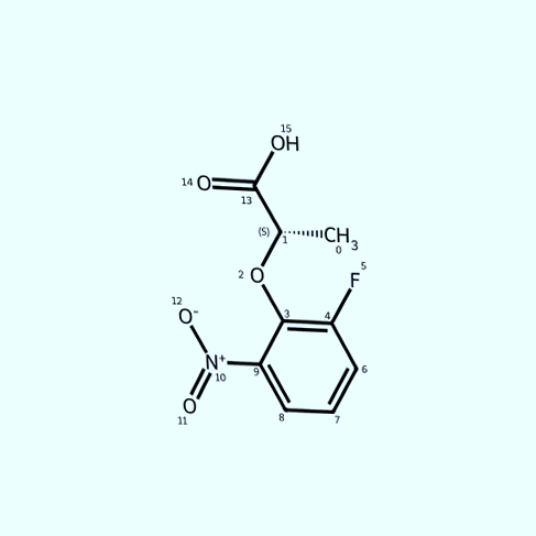 C[C@H](Oc1c(F)cccc1[N+](=O)[O-])C(=O)O